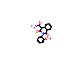 NC(=O)C1C(=O)N(c2ccccc2O)C(=O)c2ccccc21